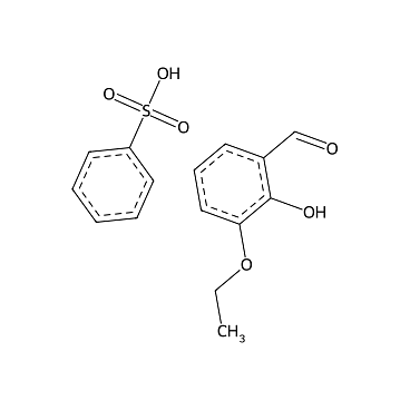 CCOc1cccc(C=O)c1O.O=S(=O)(O)c1ccccc1